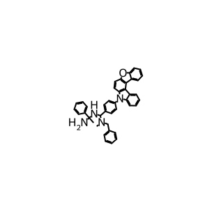 CN(Cc1ccccc1)C(NC(C)(N)c1ccccc1)c1ccc(-n2c3ccccc3c3c4c(ccc32)oc2ccccc24)cc1